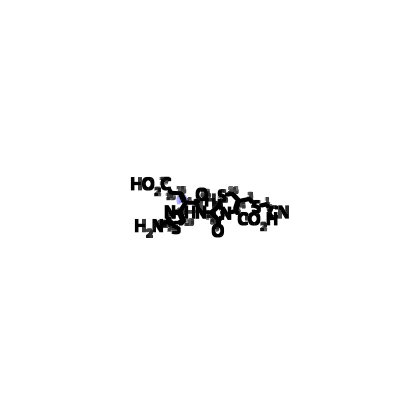 N#CCSCC1=C(C(=O)O)N2C(=O)[C@@H](NC(=O)/C(=C/CC(=O)O)c3csc(N)n3)[C@H]2SC1